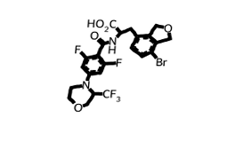 O=C(NC(Cc1ccc(Br)c2c1COC2)C(=O)O)c1c(F)cc(N2CCOCC2C(F)(F)F)cc1F